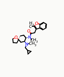 Cc1oc2ccccc2c1CC(=O)N(C)[C@H]1CC[C@@]2(CCCO2)C[C@@H]1N(C)CC1CC1